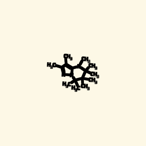 Cc1nn2c(c1C)N(C)C(C)(C)C(C)(C)C2(C)C